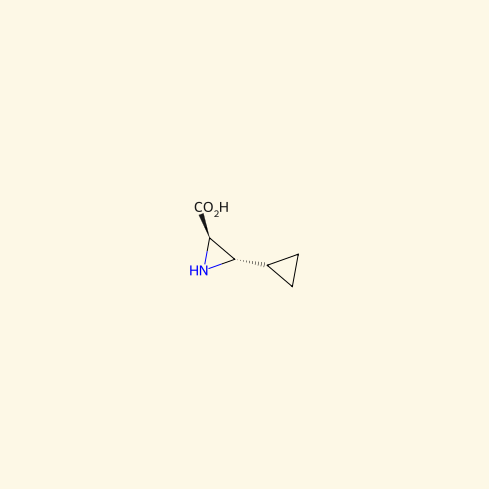 O=C(O)[C@@H]1N[C@H]1C1CC1